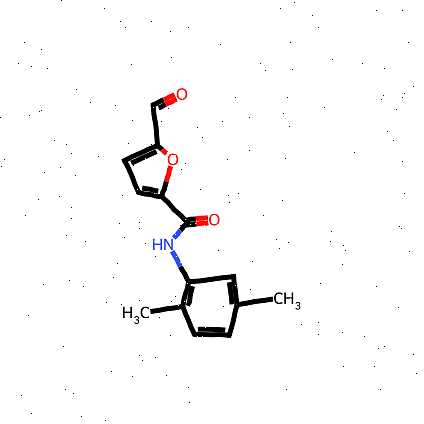 Cc1ccc(C)c(NC(=O)c2ccc(C=O)o2)c1